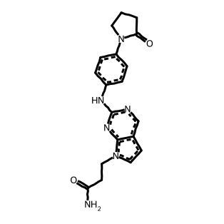 NC(=O)CCn1ccc2cnc(Nc3ccc(N4CCCC4=O)cc3)nc21